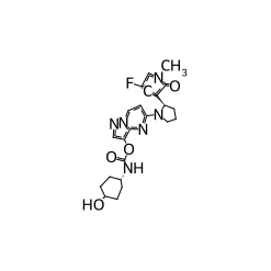 Cn1cc(F)cc([C@H]2CCCN2c2ccn3ncc(OC(=O)N[C@H]4CC[C@H](O)CC4)c3n2)c1=O